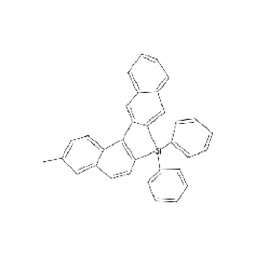 Cc1ccc2c3c(ccc2c1)[Si](c1ccccc1)(c1ccccc1)c1cc2ccccc2cc1-3